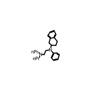 CCCN(CCC)CCN(c1ccccc1)C1CCc2ccccc2C1